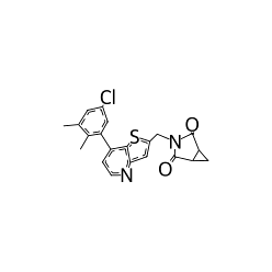 Cc1cc(Cl)cc(-c2ccnc3cc(CN4C(=O)C5CC5C4=O)sc23)c1C